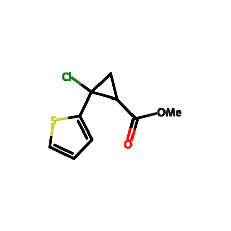 COC(=O)C1CC1(Cl)c1cccs1